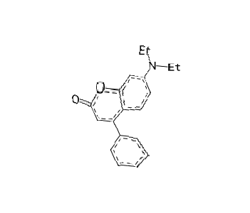 CCN(CC)c1ccc2c(-c3ccccc3)cc(=O)oc2c1